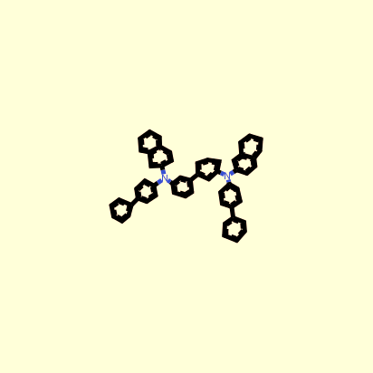 c1ccc(-c2ccc(N(c3cccc(-c4cccc(N(c5ccc(-c6ccccc6)cc5)c5ccc6ccccc6c5)c4)c3)c3ccc4ccccc4c3)cc2)cc1